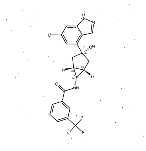 O=C(N[C@@H]1[C@@H]2C[C@@](O)(c3cc(Cl)cc4[nH]ncc34)C[C@@H]21)c1cncc(C(F)(F)F)c1